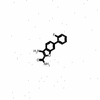 NC(=O)c1oc2cc(-c3ccccc3F)ccc2c1N